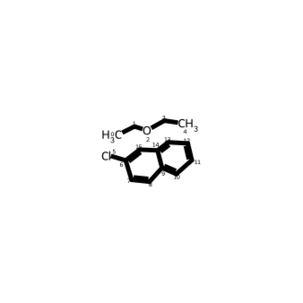 CCOCC.Clc1ccc2ccccc2c1